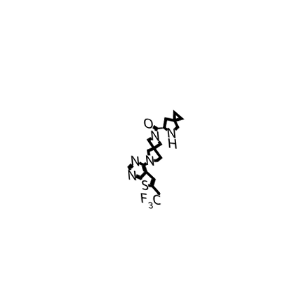 O=C([C@H]1CC2(CC2)CN1)N1CC2(CCN(c3ncnc4sc(CC(F)(F)F)cc34)C2)C1